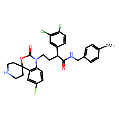 COc1ccc(CNC(=O)C(CCN2C(=O)OC3(CCNCC3)c3cc(F)ccc32)c2ccc(Cl)c(Cl)c2)cc1